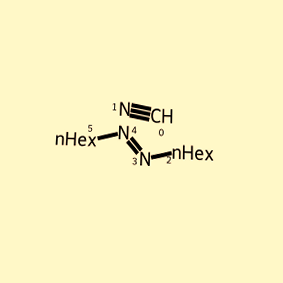 C#N.CCCCCCN=NCCCCCC